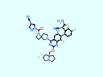 N#Cc1cnn(C(=O)N2CCC23CCN(c2nc(OC[C@@]45CCCN4C[C@H](F)C5)nc4c(F)c(-c5ccc(F)c6sc(N)c(C#N)c56)c(Cl)cc24)C3)c1